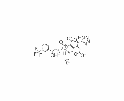 O=C([O-])CC(Sc1nnn[nH]1)C1=C(C(=O)[O-])N2C(=O)C(NCC(O)c3cccc(C(F)(F)F)c3)[C@@H]2SC1.[K+].[K+]